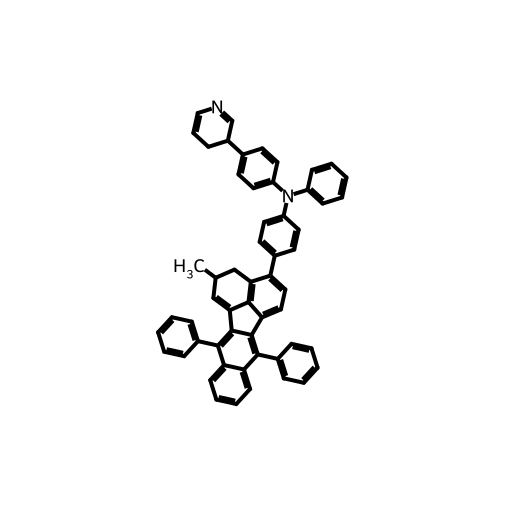 CC1C=C2c3c(ccc(-c4ccc(N(c5ccccc5)c5ccc(C6C=NC=CC6)cc5)cc4)c3C1)-c1c2c(-c2ccccc2)c2ccccc2c1-c1ccccc1